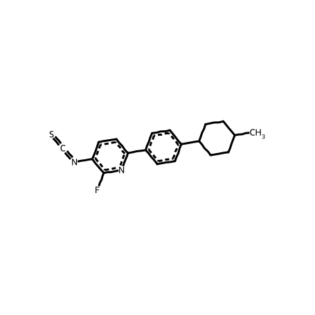 CC1CCC(c2ccc(-c3ccc(N=C=S)c(F)n3)cc2)CC1